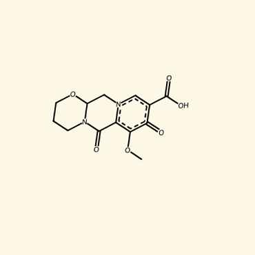 COc1c2n(cc(C(=O)O)c1=O)CC1OCCCN1C2=O